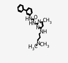 Cc1cc(NCCCN(C)C)nc(NC(=O)Nc2cccc(-c3ccccc3)c2)n1